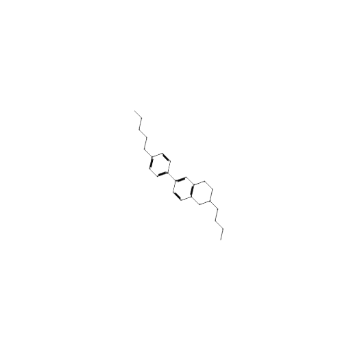 CCCCCc1ccc(-c2ccc3c(c2)CCC(CCCC)C3)cc1